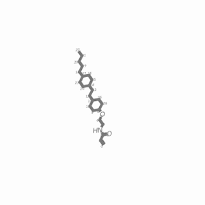 C=CC(=O)NCCOC1CCC(CCC2CCC(CCCCC)CC2)CC1